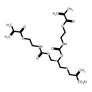 C=C(C)C(=O)OCCNC(=O)OC[C@H](CSCC(=C)C(=O)OCC)OC(=O)NCCOC(=O)C(=C)C